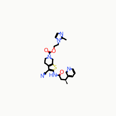 Cc1nccn1CCOC(=O)N1CCc2c(sc(NC(=O)C[C@H](C)c3cccnc3)c2C#N)C1